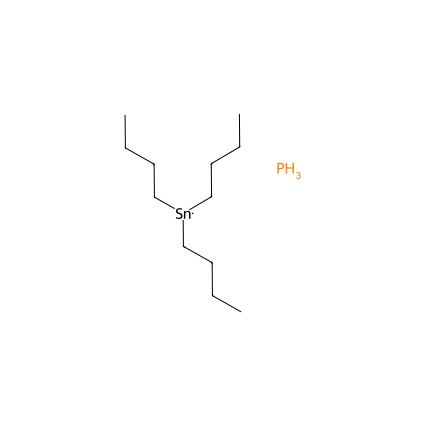 CCC[CH2][Sn]([CH2]CCC)[CH2]CCC.P